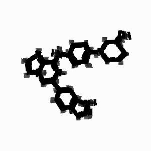 OC1CCCN(c2ccc(Nc3nc(-c4ccc5cn[nH]c5c4)cn4ccnc34)cc2)C1